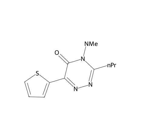 CCCc1nnc(-c2cccs2)c(=O)n1NC